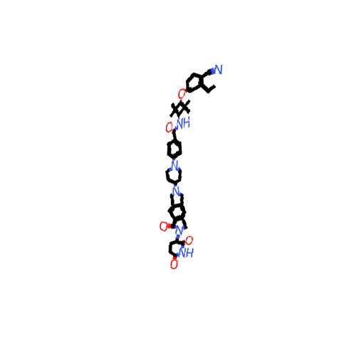 CCc1cc(O[C@H]2C(C)(C)[C@H](NC(=O)c3ccc(N4CCC(N5Cc6cc7c(cc6C5)C(=O)N(C5CCC(=O)NC5=O)C7)CC4)cc3)C2(C)C)ccc1C#N